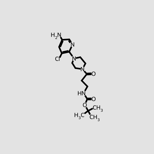 CC(C)(C)OC(=O)NCCC(=O)N1CCN(c2ncc(N)cc2Cl)CC1